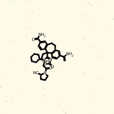 C=C(N)c1ccc2c(c1)CCc1cc(C(N)=O)ccc1C2(C[C@@H](C)NCC(=O)N1CCCC1C#N)c1nc(=O)on1C1CCCCC1